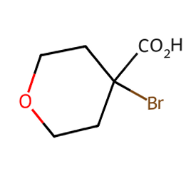 O=C(O)C1(Br)CCOCC1